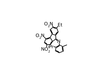 CCc1cc2c(cc1[N+](=O)[O-])-c1c(cc([N+](=O)[O-])cc1[N+](=O)[O-])C2=Nc1c(C)cccc1C(C)C